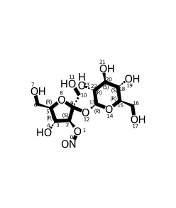 O=NO[C@H]1[C@H](O)[C@@H](CO)O[C@@]1(CO)O[C@H]1O[C@H](CO)[C@@H](O)[C@H](O)[C@H]1O